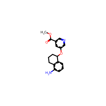 COC(=O)c1cncc(OC2CCCc3c(N)cccc32)c1